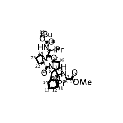 COC(=O)[C@@H](NC(=O)C1(Cc2ccccc2)CCCN1C(=O)[C@@H]1CCCN1C(=O)[C@@H](NC(=O)OC(C)(C)C)C(C)C)C(C)C